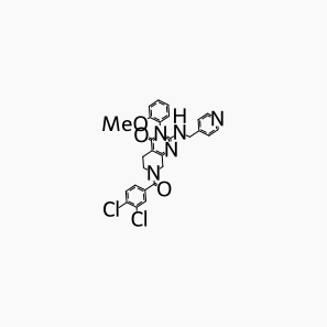 COc1ccccc1-n1c(NCc2ccncc2)nc2c(c1=O)CCN(C(=O)c1ccc(Cl)c(Cl)c1)C2